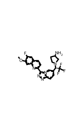 COc1cc2nc(-c3nnc4ccc([C@@H](N5CCC(N)C5)C(F)(F)F)cn34)ccc2cc1F